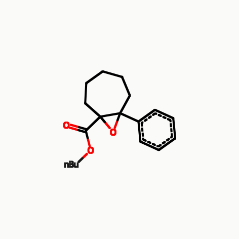 CCCCOC(=O)C12CCCCCC1(c1ccccc1)O2